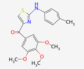 COc1cc(C(=O)c2csc(Nc3ccc(C)cc3)n2)cc(OC)c1OC